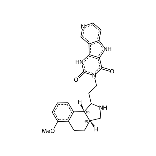 COc1cccc2c1CC[C@H]1CNC(CCn3c(=O)[nH]c4c([nH]c5ccncc54)c3=O)[C@@H]21